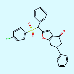 O=C1CC(c2ccccc2)Cc2oc(C(c3ccccc3)S(=O)(=O)c3ccc(Cl)cc3)cc21